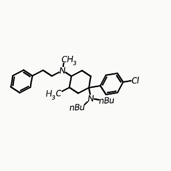 CCCCN(CCCC)C1(c2ccc(Cl)cc2)CCC(N(C)CCc2ccccc2)C(C)C1